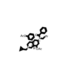 CC(=O)Oc1cccc([C@@]23CCN(CC4CC4)C[C@H]2C(OC(C)=O)C[C@@H](N(CC(C)C)C(=O)c2ccccc2)C3)c1